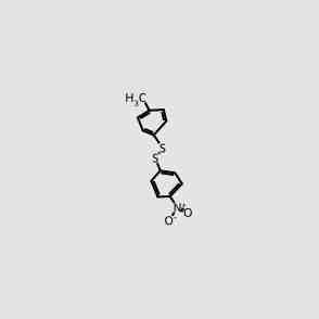 Cc1ccc(SSc2ccc([N+](=O)[O-])cc2)cc1